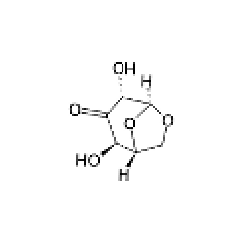 O=C1[C@H](O)[C@H]2OC[C@@H](O2)[C@H]1O